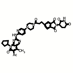 CC(=O)c1c(C)c2cnc(Nc3ccc(N4CCN(C(=O)CCc5ccc6c(c5)C(=O)N(C5CCC(=O)NC5=O)C6=O)CC4)cn3)nc2n(C2CCCC2)c1=O